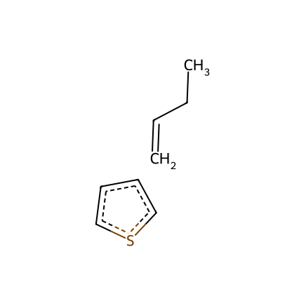 C=CCC.c1ccsc1